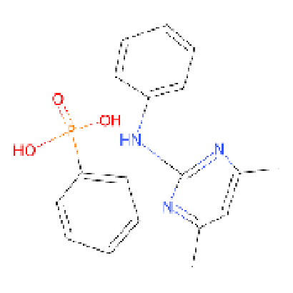 Cc1cc(C)nc(Nc2ccccc2)n1.O=P(O)(O)c1ccccc1